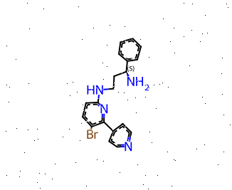 N[C@@H](CCNc1ccc(Br)c(-c2ccncc2)n1)c1ccccc1